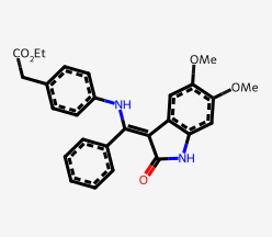 CCOC(=O)Cc1ccc(NC(=C2C(=O)Nc3cc(OC)c(OC)cc32)c2ccccc2)cc1